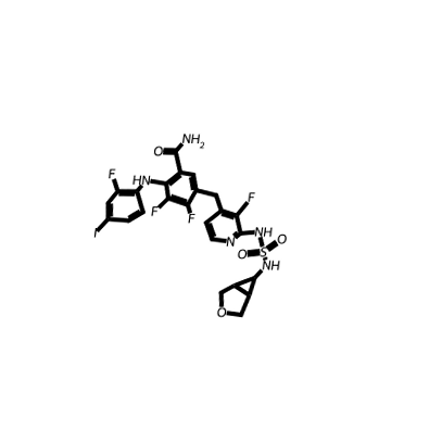 NC(=O)c1cc(Cc2ccnc(NS(=O)(=O)NC3C4COCC43)c2F)c(F)c(F)c1Nc1ccc(I)cc1F